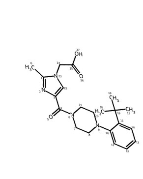 Cc1nc(C(=O)N2CCN(c3ccccc3C(C)(C)C)CC2)cn1CC(=O)O